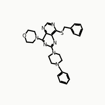 c1ccc(CSc2ncnc3c(N4CCOCC4)nc(N4CCN(c5ccccc5)CC4)nc23)cc1